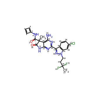 CC1(C(=O)NC2=CC=C2)C(=O)Nc2nc(-c3nn(CCC(F)(F)C(F)(F)F)c4cc(Cl)ccc34)nc(N)c21